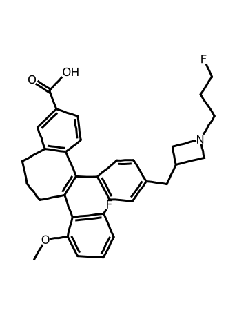 COc1cccc(F)c1C1=C(c2ccc(CC3CN(CCCF)C3)cc2)c2ccc(C(=O)O)cc2CCC1